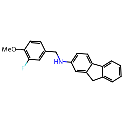 COc1ccc(CNc2ccc3c(c2)Cc2ccccc2-3)cc1F